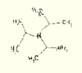 CC(C)N(C(C)C)[CH](C)[AlH2]